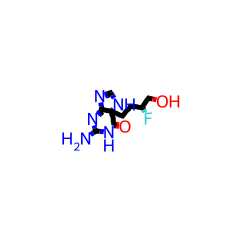 NC1N=C2N=CNC2(CCC(F)CO)C(=O)N1